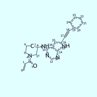 C=CC(=O)N1CCCC(Nc2ncnc3[nH]c(C#Cc4ccccc4)cc23)C1